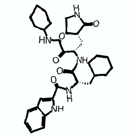 O=C(NC1CCCCC1)C(=O)[C@H](C[C@@H]1CCNC1=O)NC(=O)[C@H](CC1CCCCC1)NC(=O)c1cc2ccccc2[nH]1